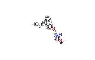 CC(C)Oc1ccnc(NCCCOC2=CC3Cc4ccccc4C(CC(=O)O)=CC3C=C2)c1